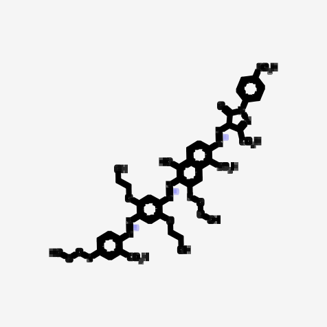 O=C(O)C1=NN(c2ccc(S(=O)(=O)O)cc2)C(=O)C1/N=N/c1ccc2c(O)c(/N=N/c3cc(OCCO)c(/N=N/c4ccc(SOOO)cc4C(=O)O)cc3OCCO)c(SOOO)cc2c1S(=O)(=O)O